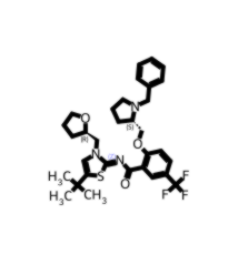 CC(C)(C)c1cn(C[C@H]2CCCO2)/c(=N/C(=O)c2cc(C(F)(F)F)ccc2OC[C@@H]2CCCN2Cc2ccccc2)s1